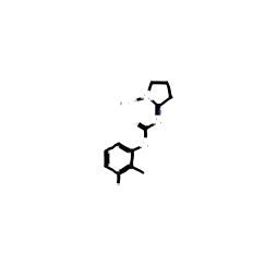 CCCCN1CCC/C1=N/C(=O)Nc1cccc(Cl)c1C